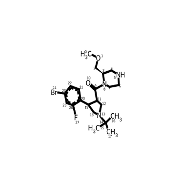 COC[C@H]1CNCCN1C(=O)C1CN(C(C)(C)C)CC1c1ccc(Br)cc1F